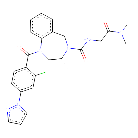 CCN(C)C(=O)CNC(=O)N1Cc2ccccc2N(C(=O)c2ccc(-n3cccn3)cc2Cl)C[C@H]1C